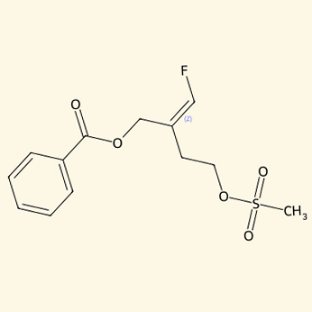 CS(=O)(=O)OCC/C(=C/F)COC(=O)c1ccccc1